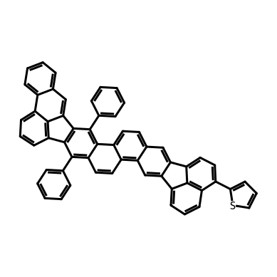 c1ccc(-c2c3c(c(-c4ccccc4)c4c2ccc2c5cc6c(cc5ccc24)-c2ccc(-c4cccs4)c4cccc-6c24)-c2cc4ccccc4c4cccc-3c24)cc1